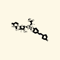 C=C1C=CN([C@@H]2O[C@H](COP(=O)(N[C@@H](C)C(=O)OC(C)C)Oc3ccc(/C=C/c4ccc(F)cc4)cc3)[C@@H](O)[C@@]2(C)F)C(=O)N1